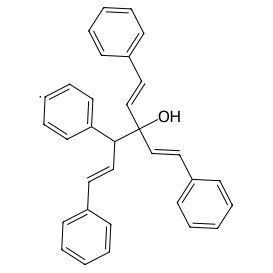 OC(C=Cc1ccccc1)(C=Cc1ccccc1)C(C=Cc1ccccc1)c1cc[c]cc1